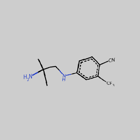 CC(C)(N)CNc1ccc(C#N)c(C(F)(F)F)c1